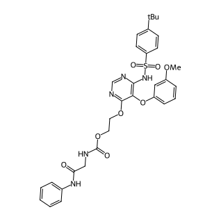 COc1cccc(Oc2c(NS(=O)(=O)c3ccc(C(C)(C)C)cc3)ncnc2OCCOC(=O)NCC(=O)Nc2ccccc2)c1